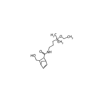 CCO[Si](C)(C)CCCNC(=O)C1C2C=CC(C2)C1CO